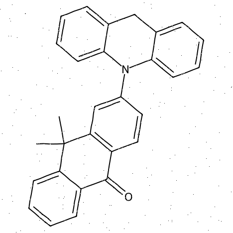 CC1(C)c2ccccc2C(=O)c2ccc(N3c4ccccc4Cc4ccccc43)cc21